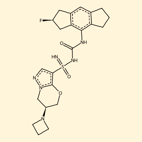 N=S(=O)(NC(=O)Nc1c2c(cc3c1C[C@@H](F)C3)CCC2)c1cnn2c1OC[C@@H](N1CCC1)C2